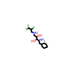 NC(CC1CCCCC1)C(O)C(O)CNCC(F)C(F)F